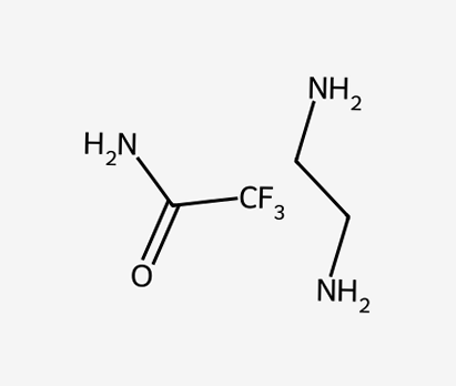 NC(=O)C(F)(F)F.NCCN